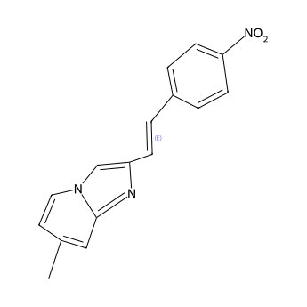 Cc1ccn2cc(/C=C/c3ccc([N+](=O)[O-])cc3)nc2c1